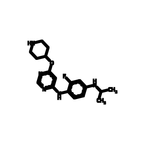 CC(C)Nc1ccc(Nc2cc(OC3CCNCC3)ncn2)c(F)c1